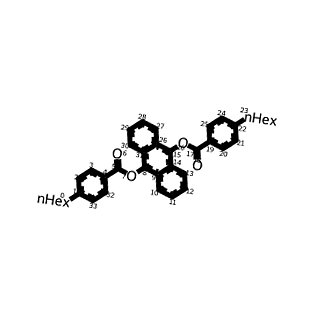 CCCCCCc1ccc(C(=O)Oc2c3ccccc3c(OC(=O)c3ccc(CCCCCC)cc3)c3ccccc23)cc1